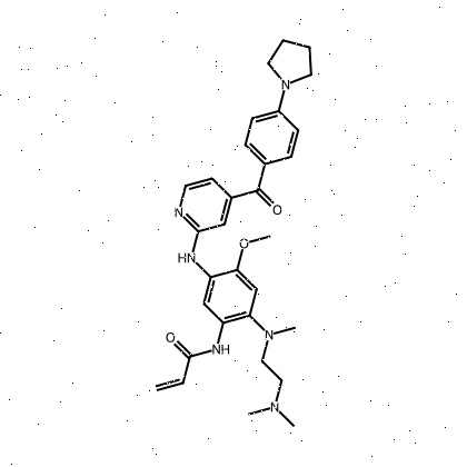 C=CC(=O)Nc1cc(Nc2cc(C(=O)c3ccc(N4CCCC4)cc3)ccn2)c(OC)cc1N(C)CCN(C)C